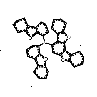 c1ccc2c(c1)oc1c(N(c3cccc4c3oc3ccccc34)c3cc4oc5ccccc5c4c4oc5ccccc5c34)cccc12